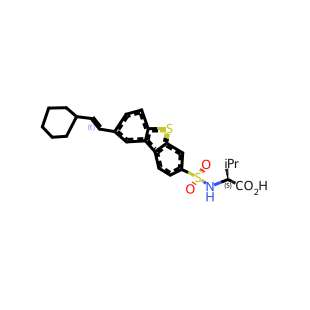 CC(C)[C@H](NS(=O)(=O)c1ccc2c(c1)sc1ccc(/C=C/C3CCCCC3)cc12)C(=O)O